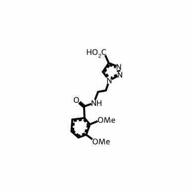 COc1cccc(C(=O)NCCn2cc(C(=O)O)nn2)c1OC